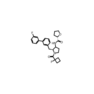 O=C(NC1CCN(C(=O)C2(F)CCC2)[C@H]1Cc1cccc(-c2cccc(F)c2)c1)[C@@H]1CCCO1